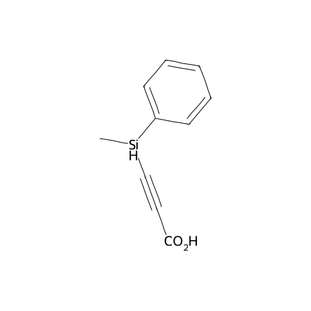 C[SiH](C#CC(=O)O)c1ccccc1